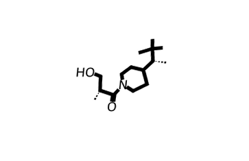 C[C@H](CO)C(=O)N1CCC([C@@H](C)C(C)(C)C)CC1